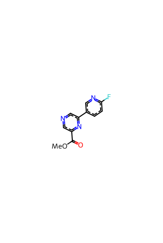 COC(=O)c1cncc(-c2ccc(F)nc2)n1